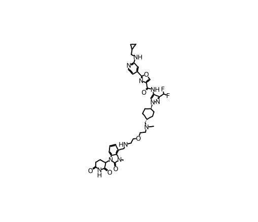 CN(CCOCCNCc1cccc2c1n(C)c(=O)n2C1CCC(=O)NC1=O)C[C@H]1CC[C@H](n2cc(NC(=O)c3coc(-c4ccnc(NCC5CC5)c4)n3)c(C(F)F)n2)CC1